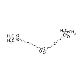 C=C(C)C(=O)OCCCCCCCCCCCC(=O)OC(=O)CCCCCCCCCCCOC(=O)C(=C)C